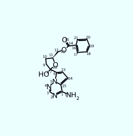 Nc1ncnn2c(C3(O)CC[C@@H](COC(=O)c4ccccc4)O3)ccc12